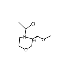 COC[C@H]1COCCN1C(C)Cl